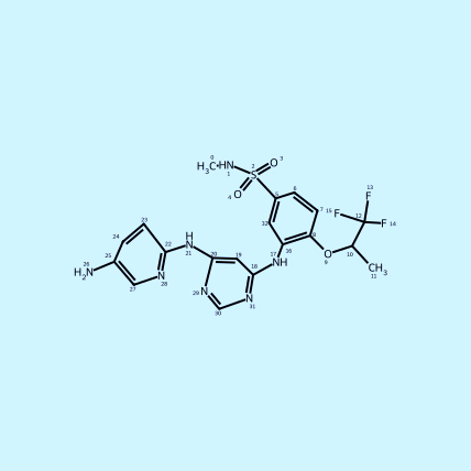 CNS(=O)(=O)c1ccc(OC(C)C(F)(F)F)c(Nc2cc(Nc3ccc(N)cn3)ncn2)c1